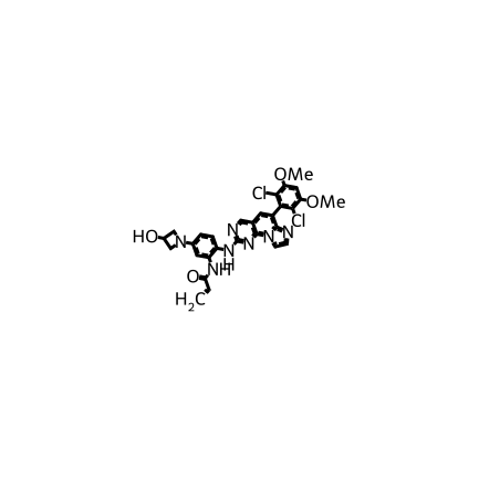 C=CC(=O)Nc1cc(N2CC(O)C2)ccc1Nc1ncc2cc(-c3c(Cl)c(OC)cc(OC)c3Cl)c3nccn3c2n1